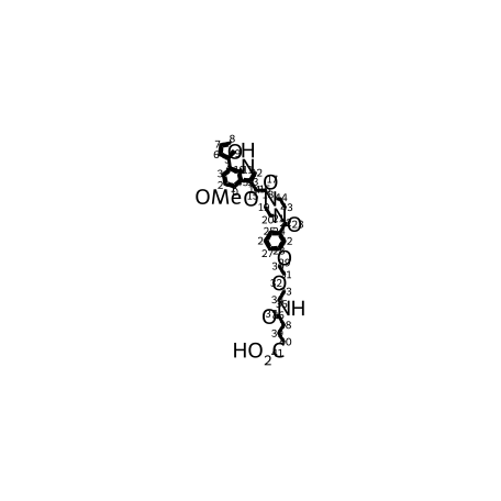 COc1ccc(-c2ccco2)c2[nH]cc(C(=O)C(=O)N3CCN(C(=O)c4cccc(OCCOCCNC(=O)CCCC(=O)O)c4)CC3)c12